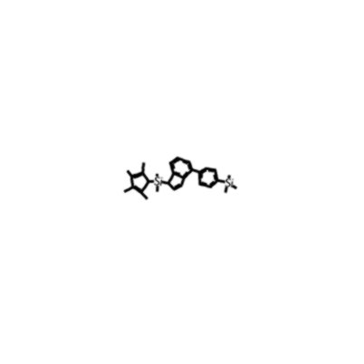 CC1=C(C)C([Si](C)(C)C2C=Cc3c(-c4ccc([Si](C)(C)C)cc4)cccc32)C(C)=C1C